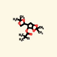 CCC(C)(C)C(=O)OC1C(C2COC(C)(C)O2)CC2OC(C)(C)OC21